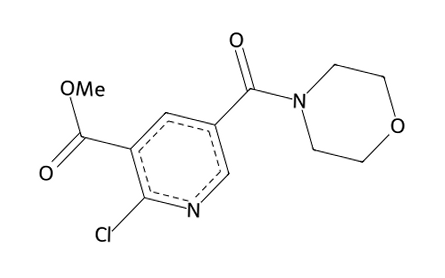 COC(=O)c1cc(C(=O)N2CCOCC2)cnc1Cl